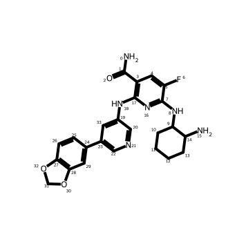 NC(=O)c1cc(F)c(NC2CCCCC2N)nc1Nc1cncc(-c2ccc3c(c2)OCO3)c1